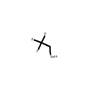 FC(F)(F)[CH2][SnH]